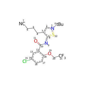 CC(C)(C)n1cc(CCCC#N)c(=NC(=O)c2cc(Cl)ccc2OCC(F)(F)F)s1